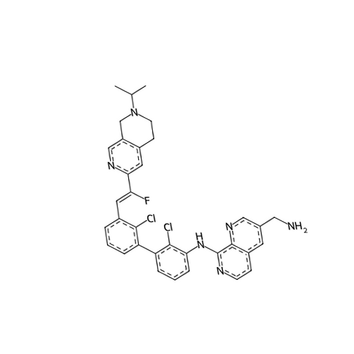 CC(C)N1CCc2cc(/C(F)=C/c3cccc(-c4cccc(Nc5nccc6cc(CN)cnc56)c4Cl)c3Cl)ncc2C1